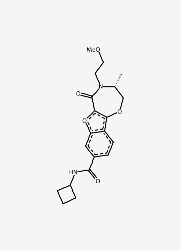 COCCN1C(=O)c2oc3cc(C(=O)NC4CCC4)ccc3c2OC[C@H]1C